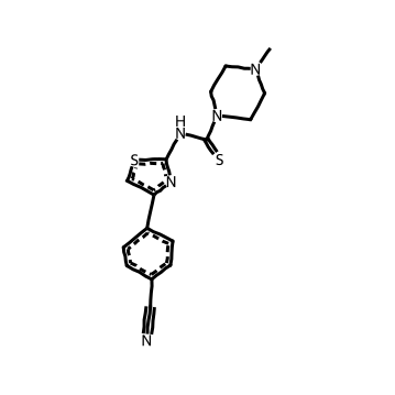 CN1CCN(C(=S)Nc2nc(-c3ccc(C#N)cc3)cs2)CC1